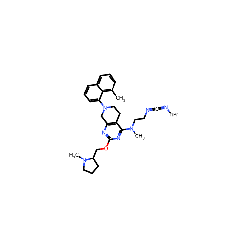 CCCN=C=NCCN(C)c1nc(OCC2CCCN2C)nc2c1CCN(c1cccc3cccc(C)c13)C2